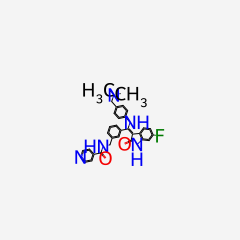 CN(C)Cc1ccc(NC(=C2C(=O)Nc3cc(F)ccc32)c2cccc(CNC(=O)c3ccncc3)c2)cc1